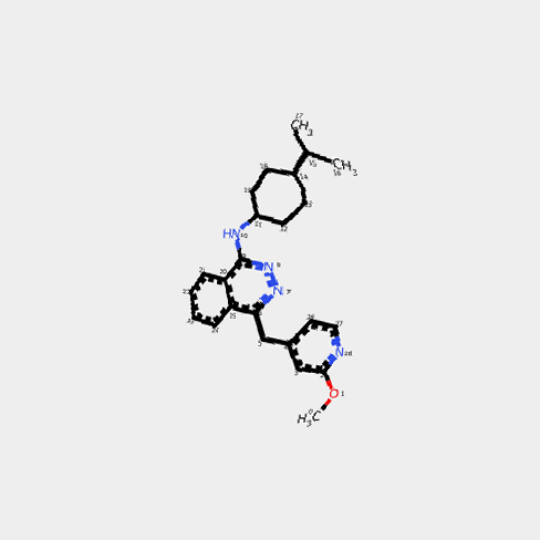 COc1cc(Cc2nnc(NC3CCC(C(C)C)CC3)c3ccccc23)ccn1